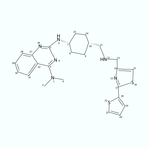 CN(C)c1nc(N[C@H]2CC[C@@H](CNCc3csc(-c4cccs4)n3)CC2)nc2ccccc12